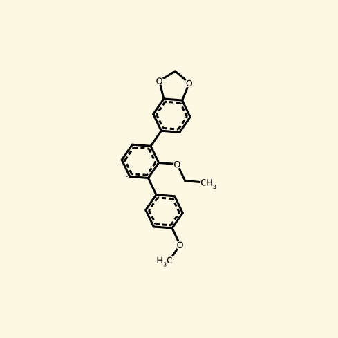 CCOc1c(-c2ccc(OC)cc2)[c]ccc1-c1ccc2c(c1)OCO2